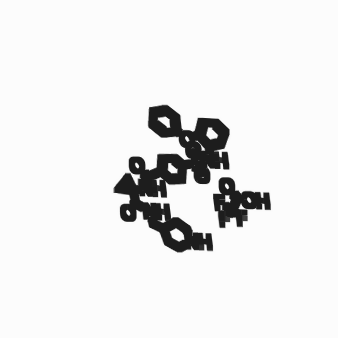 O=C(NC1(C(=O)NCC2CCNCC2)CC1)c1ccc(S(=O)(=O)Nc2ccccc2Oc2ccccc2)cc1.O=C(O)C(F)(F)F